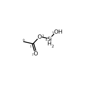 CC(=O)O[SiH2]O